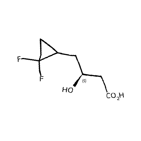 O=C(O)C[C@@H](O)CC1CC1(F)F